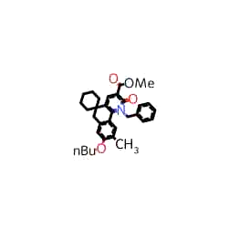 CCCCOc1cc2c(cc1C)-c1c(cc(C(=O)OC)c(=O)n1Cc1ccccc1)C1(CCCCC1)C2